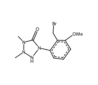 COc1cccc(N2NN(C)N(C)C2=O)c1CBr